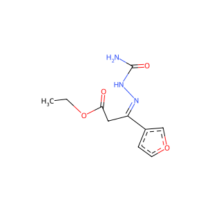 CCOC(=O)C/C(=N\NC(N)=O)c1ccoc1